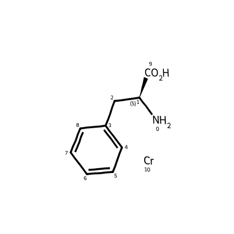 N[C@@H](Cc1ccccc1)C(=O)O.[Cr]